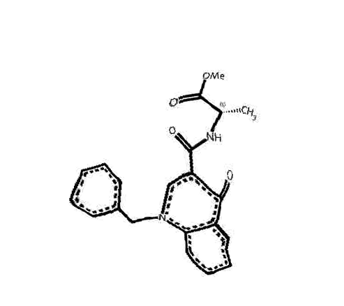 COC(=O)[C@H](C)NC(=O)c1cn(Cc2ccccc2)c2ccccc2c1=O